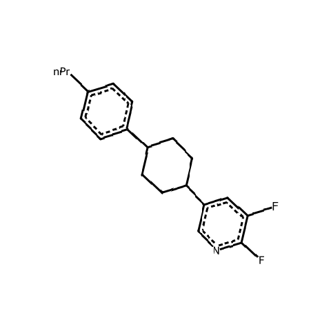 CCCc1ccc(C2CCC(c3cnc(F)c(F)c3)CC2)cc1